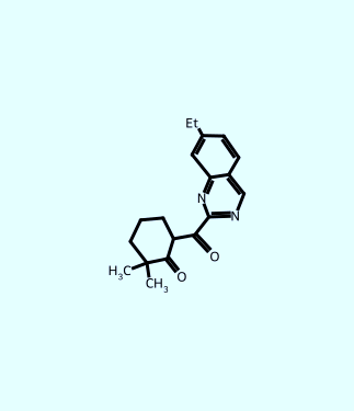 CCc1ccc2cnc(C(=O)C3CCCC(C)(C)C3=O)nc2c1